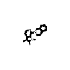 Cc1c(C)n(C)c2c(N3CCc4ccccc4C3)nccc12